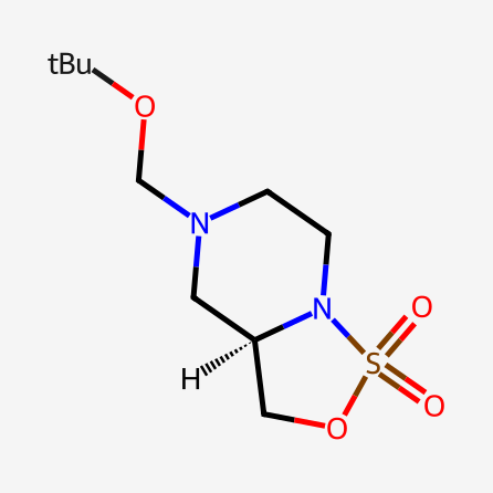 CC(C)(C)OCN1CCN2[C@@H](COS2(=O)=O)C1